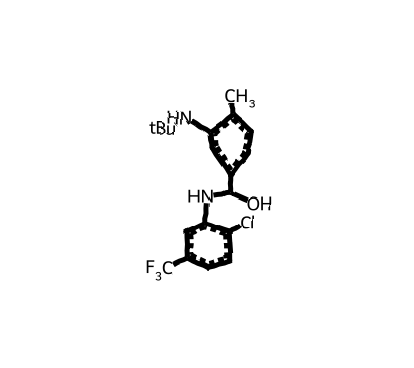 Cc1ccc(C(O)Nc2cc(C(F)(F)F)ccc2Cl)cc1NC(C)(C)C